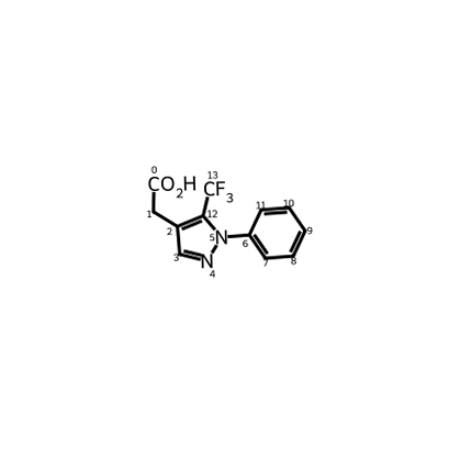 O=C(O)Cc1cnn(-c2ccccc2)c1C(F)(F)F